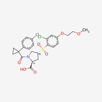 COCCOc1ccc(S(=O)(=O)[C@@H]2C[C@@H](C(=O)O)N(C(=O)C3(c4ccc(Cl)cc4)CC3)C2)c(Cl)c1